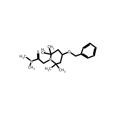 CN(C)C(=S)CN1C(C)(C)CC(OCc2ccccc2)CC1(C)C